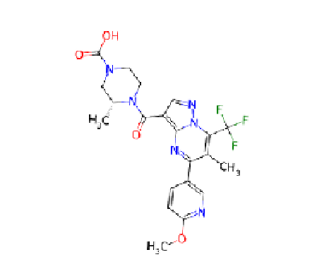 COc1ccc(-c2nc3c(C(=O)N4CCN(C(=O)O)C[C@H]4C)cnn3c(C(F)(F)F)c2C)cn1